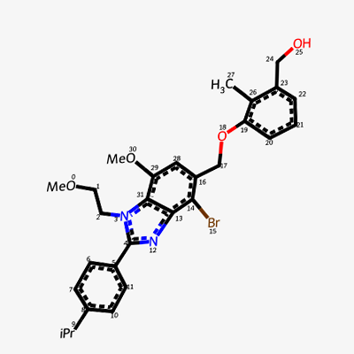 COCCn1c(-c2ccc(C(C)C)cc2)nc2c(Br)c(COc3cccc(CO)c3C)cc(OC)c21